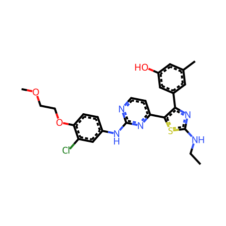 CCNc1nc(-c2cc(C)cc(O)c2)c(-c2ccnc(Nc3ccc(OCCOC)c(Cl)c3)n2)s1